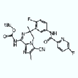 Cc1nc2n(c1C#N)CC(C)(c1cc(NC(=O)c3ccc(F)cn3)ccc1F)N=C2NC(=O)OC(C)(C)C